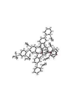 N#Cc1ccccc1-c1ccc2c(c1)c1cc(-c3ccccc3C#N)ccc1n2-c1cc(C#N)c(-c2ccc(C(F)(F)F)cc2C(F)(F)F)cc1-n1c2ccc(-c3ccccc3C#N)cc2c2cc(-c3ccccc3C#N)ccc21